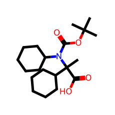 CC(C)(C)OC(=O)N(C1CCCCC1)C(C)(C(=O)O)C1CCCCC1